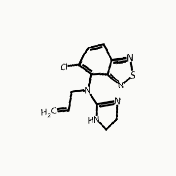 C=CCN(C1=NCCN1)c1c(Cl)ccc2nsnc12